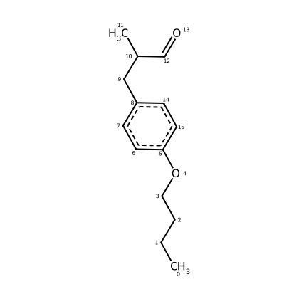 CCCCOc1ccc(CC(C)C=O)cc1